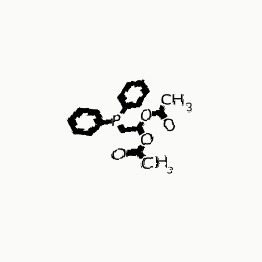 CC(=O)OC(CP(c1ccccc1)c1ccccc1)OC(C)=O